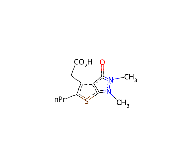 CCCc1sc2c(c1CC(=O)O)c(=O)n(C)n2C